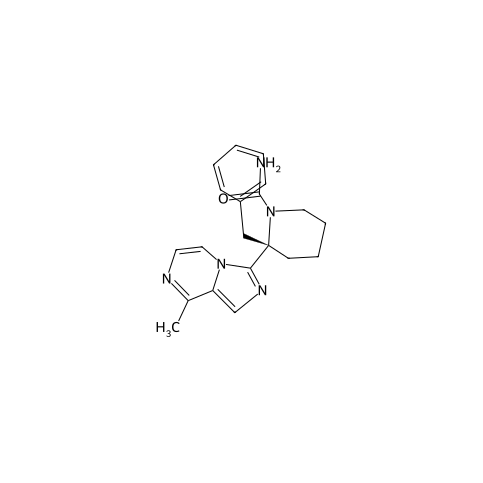 Cc1nccn2c([C@@]3(Cc4ccccc4)CCCCN3C(N)=O)ncc12